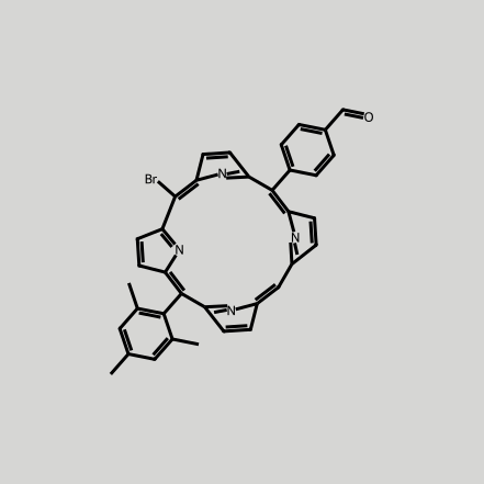 Cc1cc(C)c(C2=C3C=CC(=N3)C(Br)=C3C=CC(=N3)C(c3ccc(C=O)cc3)=C3C=CC(=N3)C=C3C=CC2=N3)c(C)c1